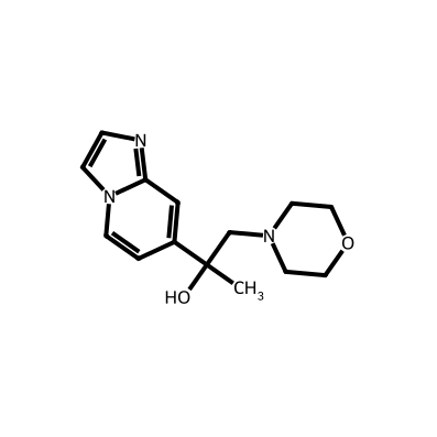 CC(O)(CN1CCOCC1)c1ccn2ccnc2c1